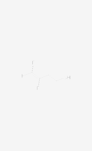 FC(F)=C(F)CCS